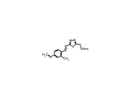 C=Nc1ccc(/N=N/c2nnc(SCCCCCC)s2)c(C)c1